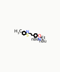 CCCCN(CCCC)C(CC)Oc1ccc(/C=C/c2nc3cc(C)ccc3s2)cc1